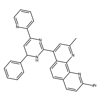 Cc1cc(C2=NC(c3ccccn3)=CC(c3ccccc3)N2)c2ccc3ccc(C(C)C)nc3c2n1